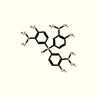 Cc1ccc([Si](Cl)(c2ccc(C)c(N(C)C)c2)c2ccc(C)c(N(C)C)c2)cc1N(C)C